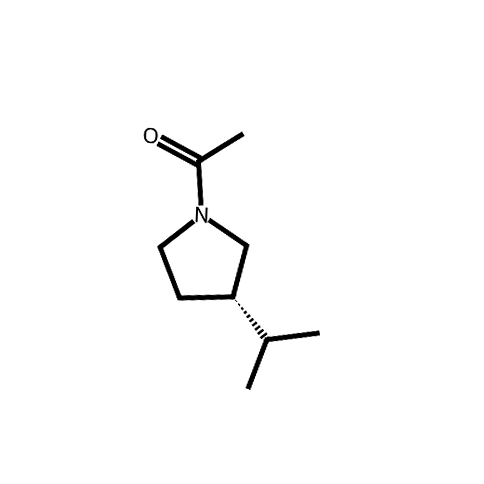 CC(=O)N1CC[C@@H](C(C)C)C1